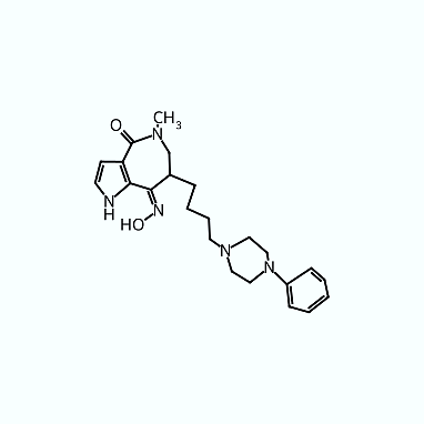 CN1CC(CCCCN2CCN(c3ccccc3)CC2)C(=NO)c2[nH]ccc2C1=O